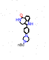 CCCCN1CCCN(c2ccc(-c3[nH]c4cccc5c4c3CCNC5=O)cc2)CC1